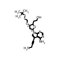 CC(C)(C)SSCO[C@@H]1C[C@H](n2cc(C#CCN)c3c(N)ncnc32)OC1CCO